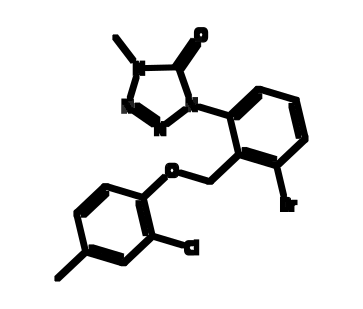 Cc1ccc(OCc2c(Br)cccc2-n2nnn(C)c2=O)c(Cl)c1